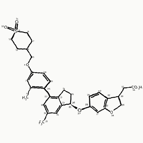 Cc1cc(OCC2CCS(=O)(=O)CC2)ccc1-c1cc(C(F)(F)F)cc2c1CC[C@H]2Oc1ccc2c(c1)OCC2CC(=O)O